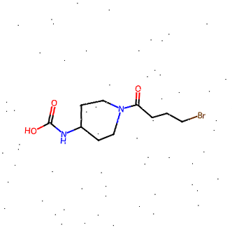 O=C(O)NC1CCN(C(=O)CCCBr)CC1